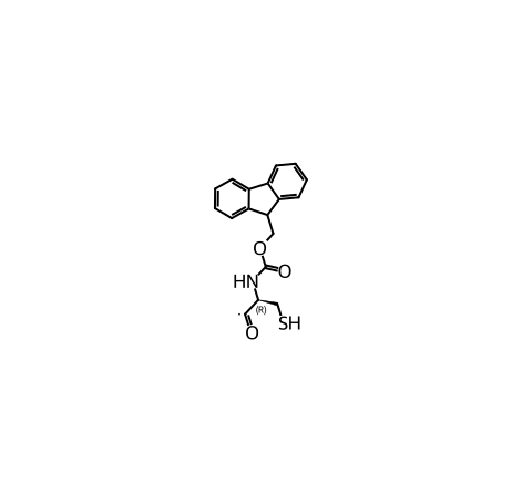 O=[C][C@H](CS)NC(=O)OCC1c2ccccc2-c2ccccc21